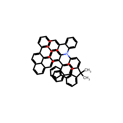 CC1(C)c2ccc(N(c3ccccc3-c3cccc(C4=C5C(c6ccccc6)=CC=C6C=CC=C(C=C4)C65)c3)c3ccccc3-c3cccc4ccccc34)cc2-c2c(-c3ccccc3)cccc21